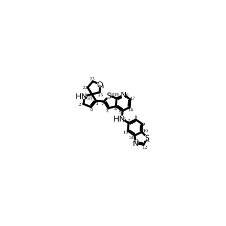 C1=C(c2cc3c(Nc4ccc5scnc5c4)ccnc3s2)C2(CCOC2)NC1